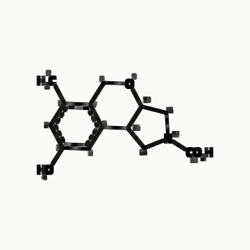 Cc1cc(O)cc2c1COC1CN(C(=O)O)CC21